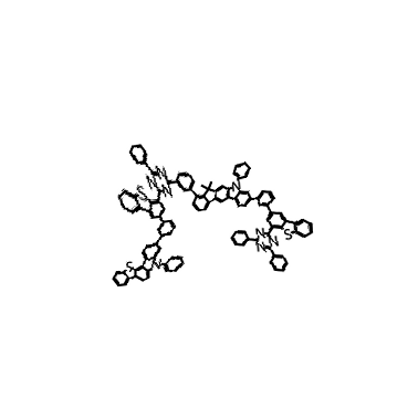 CC1(C)c2cc3c(cc2-c2cccc(-c4cccc(-c5nc(-c6ccccc6)nc(-c6cc(-c7cccc(-c8ccc9c%10c%11sc%12ccccc%12c%11ccc%10n(-c%10ccccc%10)c9c8)c7)cc7c8c(sc67)=CCCC=8)n5)c4)c21)c1ccc(-c2cccc(-c4cc(-c5nc(-c6ccccc6)nc(-c6ccccc6)n5)c5sc6ccccc6c5c4)c2)cc1n3-c1ccccc1